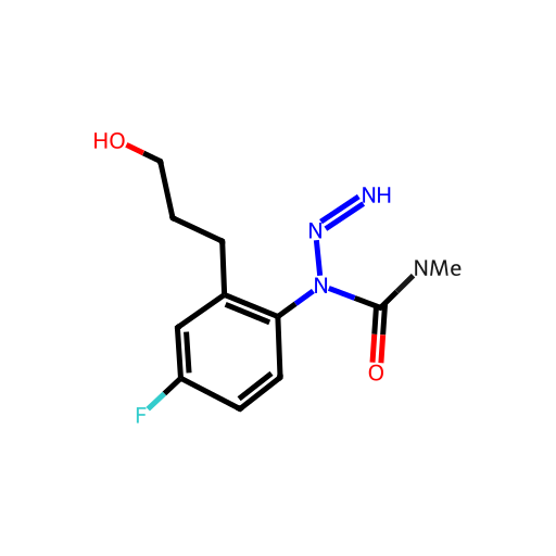 CNC(=O)N(N=N)c1ccc(F)cc1CCCO